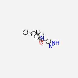 O=C(c1ccc2[nH]cnc2c1)N1CCC[C@H]2c3ccc(-c4ccccc4)cc3CC[C@H]21